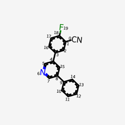 N#Cc1cc(-c2cncc(-c3ccccc3)c2)ccc1F